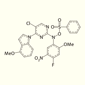 COc1cc(F)c([N+](=O)[O-])cc1N(OS(=O)(=O)c1ccccc1)c1ncc(Cl)c(-n2ccc3c(OC)cccc32)n1